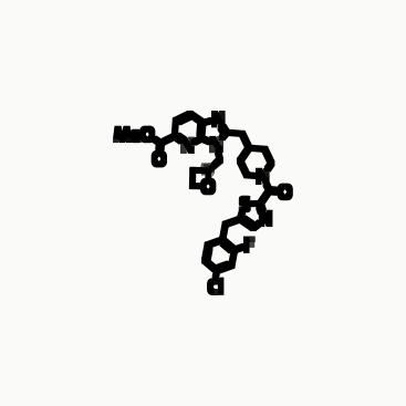 COC(=O)c1ccc2nc(CC3CCN(C(=O)c4ncc(Cc5ccc(Cl)cc5F)s4)CC3)n(C[C@@H]3CCO3)c2n1